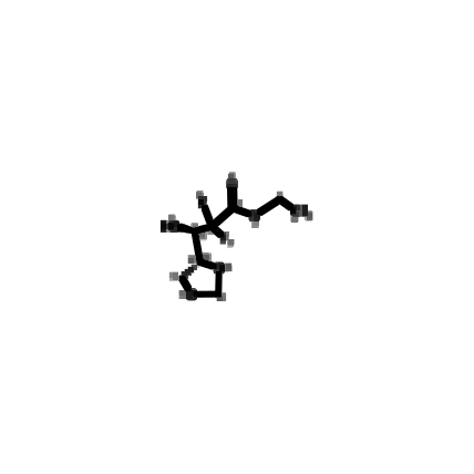 CCOC(=O)C(F)(F)[C@H](O)[C@H]1COCO1